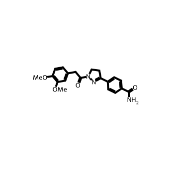 COc1ccc(CC(=O)N2CCC(c3ccc(C(N)=O)cc3)=N2)cc1OC